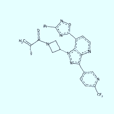 C=C(F)C(=O)N1CC(n2nc(-c3ccc(C(F)(F)F)nc3)c3nccc(-c4nc(C(C)C)no4)c32)C1